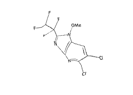 COn1c(C(F)(F)C(F)F)nc2nc(Cl)c(Cl)cc21